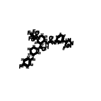 Cn1nnnc1-c1cccc(NC(=O)N[C@@H]2CCN(S(=O)(=O)C(F)(F)F)C[C@@H]2C(=O)N2CCC[C@@H](Cc3ccc(F)cc3)C2)c1